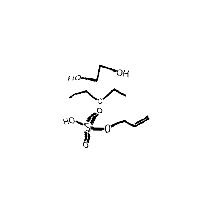 C=CCOS(=O)(=O)O.CCOCC.OCCO